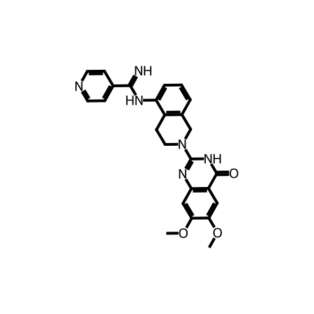 COc1cc2nc(N3CCc4c(cccc4NC(=N)c4ccncc4)C3)[nH]c(=O)c2cc1OC